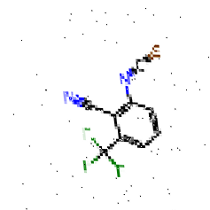 N#Cc1c(N=C=S)cccc1C(F)(F)F